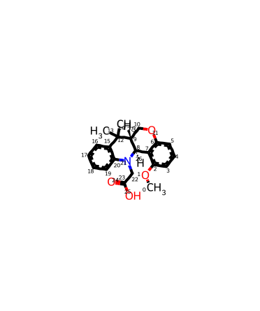 COc1cccc2c1[C@@H]1[C@@H](CO2)C(C)(C)c2ccccc2N1CC(=O)O